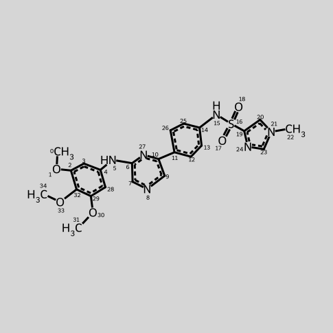 COc1cc(Nc2cncc(-c3ccc(NS(=O)(=O)c4cn(C)cn4)cc3)n2)cc(OC)c1OC